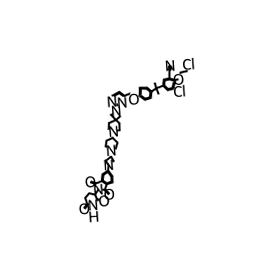 CC(C)(c1ccc(OCc2ccnc(N3CC4(CCN(C5CCN(C6CN(c7ccc8c(c7)C(=O)N(C7CCC(=O)NC7=O)C8=O)C6)CC5)CC4)C3)n2)cc1)c1cc(Cl)c(OCCCl)c(C#N)c1